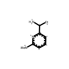 CCC(N)c1cccc(NC)n1